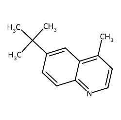 Cc1ccnc2ccc(C(C)(C)C)cc12